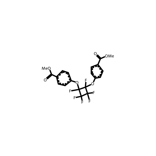 COC(=O)c1ccc(OC2(F)C(F)(F)C(F)(F)C2(F)Oc2ccc(C(=O)OC)cc2)cc1